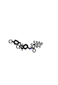 CSC1NC(=O)/C(=C/c2ccc3c(cnn3Cc3ccc(Cl)cc3C(F)(F)F)c2)S1